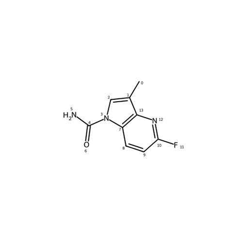 Cc1cn(C(N)=O)c2ccc(F)nc12